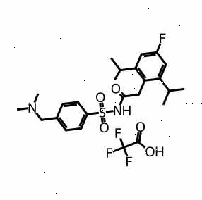 CC(C)c1cc(F)cc(C(C)C)c1CC(=O)NS(=O)(=O)c1ccc(CN(C)C)cc1.O=C(O)C(F)(F)F